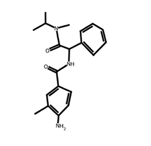 Cc1cc(C(=O)NC(C(=O)N(C)C(C)C)c2ccccc2)ccc1N